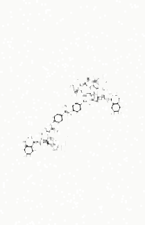 C[C@@H](C(=O)N[C@H](C(=O)N1C[C@@H](NC(=O)c2ccc(NC(=O)c3ccc(C[C@H](N)C(=O)N4C[Si](C)(C)C[C@H]4C(=O)N[C@@H]4CCCc5ccccc54)cc3)cc2)C[C@H]1C(=O)N[C@@H]1CCCc2ccccc21)C(C)(C)C)N(C)C(=O)O